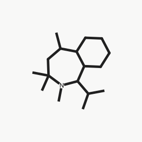 CC(C)C1C2CCCCC2C(C)CC(C)(C)N1C